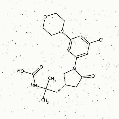 CC(C)(C[C@H]1CC(=O)N(c2cc(Cl)cc(N3CCOCC3)n2)C1)NC(=O)O